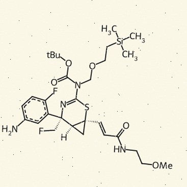 COCCNC(=O)/C=C/[C@]12C[C@H]1[C@@](CF)(c1cc(N)ccc1F)N=C(N(COCC[Si](C)(C)C)C(=O)OC(C)(C)C)S2